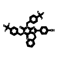 O=c1c2c(nc(-c3ccc(O)cc3)n2Cc2ccccc2)n(Cc2ccc(C(F)(F)F)cc2)c(=O)n1Cc1ccc(C(F)(F)F)cc1